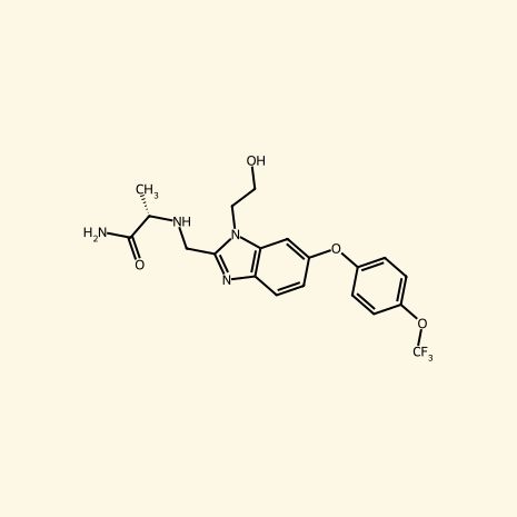 C[C@H](NCc1nc2ccc(Oc3ccc(OC(F)(F)F)cc3)cc2n1CCO)C(N)=O